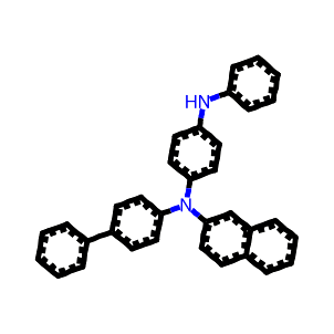 c1ccc(Nc2ccc(N(c3ccc(-c4ccccc4)cc3)c3ccc4ccccc4c3)cc2)cc1